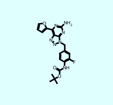 CC(C)(C)OC(=O)Nc1ccc(Cn2nnc3c(-c4ccco4)nc(N)nc32)cc1F